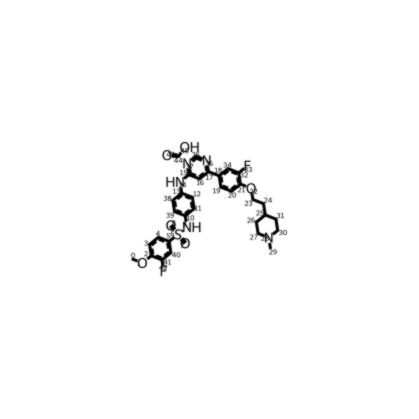 COc1ccc(S(=O)(=O)Nc2ccc(Nc3cc(-c4ccc(OCCC5CCN(C)CC5)c(F)c4)ncn3)cc2)cc1F.O=CO